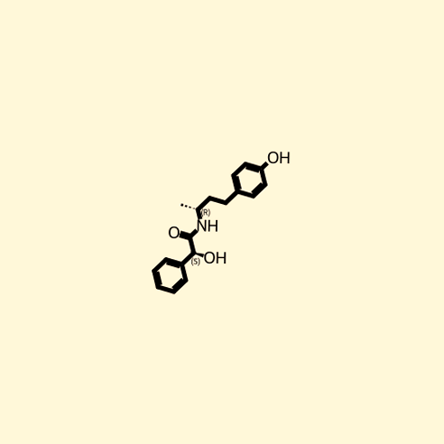 C[C@H](CCc1ccc(O)cc1)NC(=O)[C@@H](O)c1ccccc1